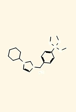 CO[Si](OC)(OC)c1ccc(CN2C=CN(C3CCCCC3)C2)cc1.Cl